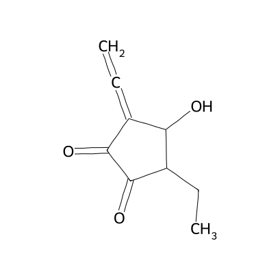 C=C=C1C(=O)C(=O)C(CC)C1O